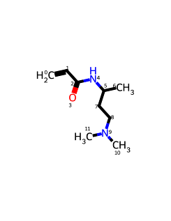 C=CC(=O)NC(C)CCN(C)C